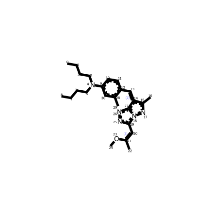 CCCCN(CCCC)c1ccc(/C=c2/c(C)nn3c(/C=C(/C)OC)nnc23)c(C)c1